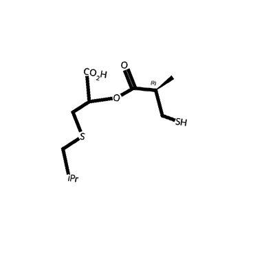 CC(C)CSCC(OC(=O)[C@@H](C)CS)C(=O)O